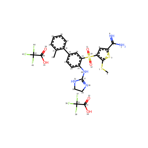 CSc1sc(C(=N)N)cc1S(=O)(=O)c1cc(-c2ccccc2C)ccc1NC1=NCCN1.O=C(O)C(F)(F)F.O=C(O)C(F)(F)F